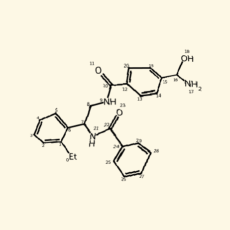 CCc1ccccc1C(CNC(=O)c1ccc(C(N)O)cc1)NC(=O)c1ccccc1